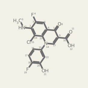 CNc1c(F)cc2c(=O)c(C(=O)O)cn(-c3ccc(F)c(O)c3)c2c1Cl